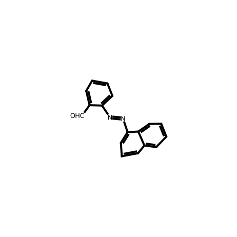 O=Cc1ccccc1N=Nc1cccc2ccccc12